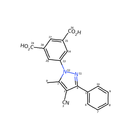 Cc1c(C#N)c(-c2ccccc2)nn1-c1cc(C(=O)O)cc(C(=O)O)c1